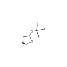 FC(F)(F)OC1C=N[CH]O1